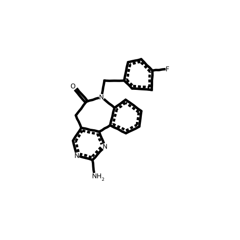 Nc1ncc2c(n1)-c1ccccc1N(Cc1ccc(F)cc1)C(=O)C2